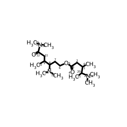 CC(CC(=O)OCCC(C(C)CC(=O)N(C)C)N(C)C)C(C)N(C)C